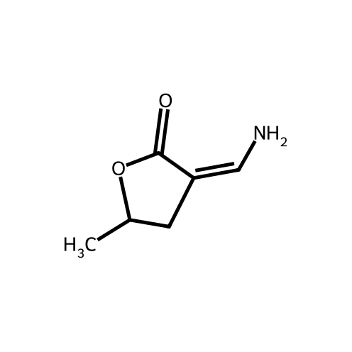 CC1C/C(=C/N)C(=O)O1